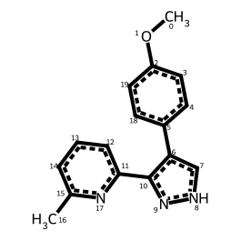 COc1ccc(-c2c[nH]nc2-c2cccc(C)n2)cc1